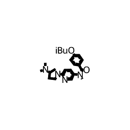 CC(C)COc1ccc(C(=O)N(C)c2ccc(N3CCC(N(C)C)C3)nc2)cc1